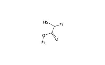 CCOC(=O)[C](S)CC